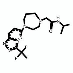 CC(C)NC(=O)CN1CCCN(c2ccc3nnc(C(C)(F)F)n3n2)CC1